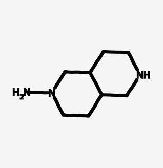 NN1CCC2CNCCC2C1